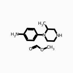 CC1CNCCN1c1ccc(N)cc1.COC=O